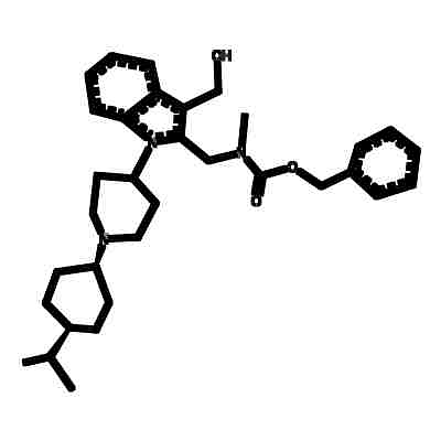 CC(C)[C@H]1CC[C@@H](N2CCC(n3c(CN(C)C(=O)OCc4ccccc4)c(CO)c4ccccc43)CC2)CC1